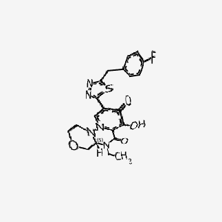 CCN1C(=O)c2c(O)c(=O)c(-c3nnc(Cc4ccc(F)cc4)s3)cn2N2CCOC[C@@H]12